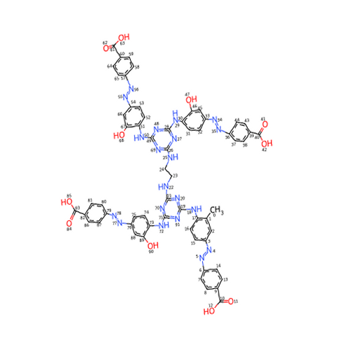 Cc1cc(N=Nc2ccc(C(=O)O)cc2)ccc1Nc1nc(NCCNc2nc(Nc3ccc(N=Nc4ccc(C(=O)O)cc4)cc3O)nc(Nc3ccc(N=Nc4ccc(C(=O)O)cc4)cc3O)n2)nc(Nc2ccc(N=Nc3ccc(C(=O)O)cc3)cc2O)n1